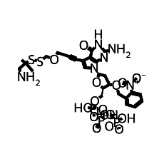 CC(C)(CN)SSCOCC#Cc1cn([C@H]2CC(OCc3ccccc3[N+](=O)[O-])[C@@H](COP(=O)(O)OP(=O)(O)OP(=O)(O)O)O2)c2nc(N)[nH]c(=O)c12